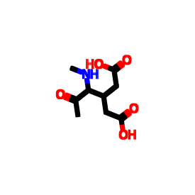 CNC(C(C)=O)C(CC(=O)O)CC(=O)O